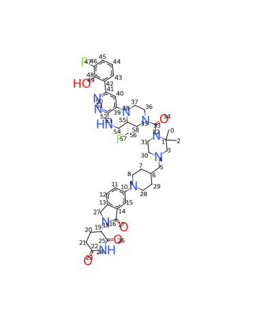 CC1(C)CN(CC2CCN(c3ccc4c(c3)C(=O)N([C@H]3CCC(=O)NC3=O)C4)CC2)CCN1C(=O)N1CCN2c3cc(-c4cccc(F)c4O)nnc3NC[C@]2(CF)C1